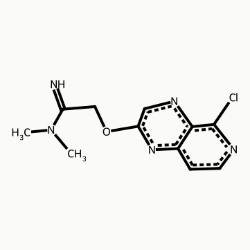 CN(C)C(=N)COc1cnc2c(Cl)nccc2n1